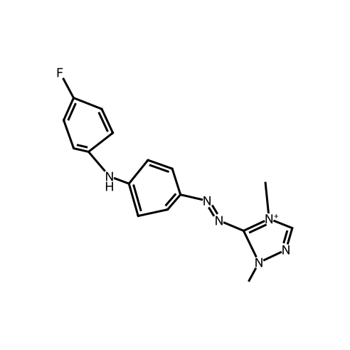 Cn1nc[n+](C)c1/N=N/c1ccc(Nc2ccc(F)cc2)cc1